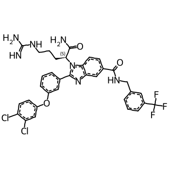 N=C(N)NCCC[C@@H](C(N)=O)n1c(-c2cccc(Oc3ccc(Cl)c(Cl)c3)c2)nc2cc(C(=O)NCc3cccc(C(F)(F)F)c3)ccc21